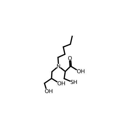 CCCCCN(CC(O)CO)C(CS)C(=O)O